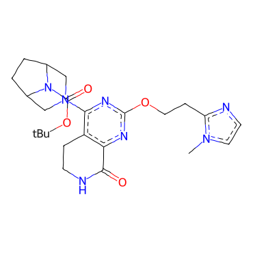 Cn1ccnc1CCOc1nc2c(c(N3CC4CCC(C3)N4C(=O)OC(C)(C)C)n1)CCNC2=O